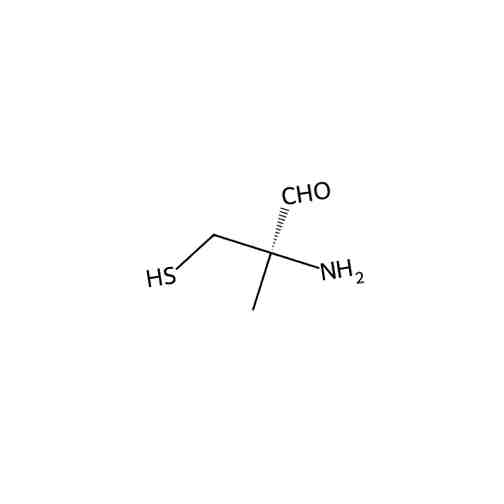 C[C@@](N)(C=O)CS